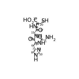 NCC(=O)N[C@@H](Cc1c[nH]cn1)C(=O)NCC(=O)N[C@@H](CS)C(=O)O